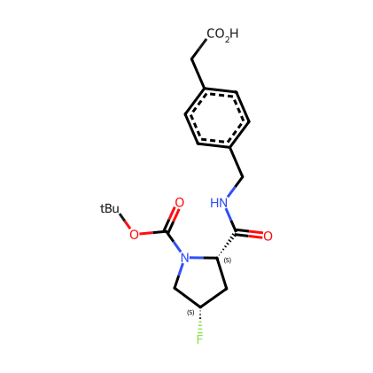 CC(C)(C)OC(=O)N1C[C@@H](F)C[C@H]1C(=O)NCc1ccc(CC(=O)O)cc1